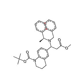 COC(=O)CC(c1ccc2c(c1)CCCN2C(=O)OC(C)(C)C)N(Cc1ccccc1)[C@@H](C)c1ccccc1